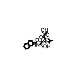 CC(C)C[C@H](NC(=O)[C@H](CO)NC(=O)C1CCC2CCCCC2C1)C(=O)[C@@]1(CO)CO1